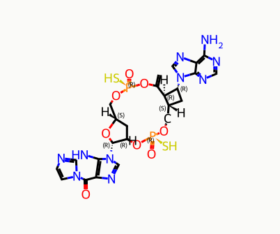 C=C1O[P@](=O)(S)OC[C@@H]2C[C@@H](O[P@](=O)(S)OC[C@H]3C[C@@H](n4cnc5c(N)ncnc54)[C@H]13)[C@H](n1cnc3c(=O)n4ccnc4[nH]c31)O2